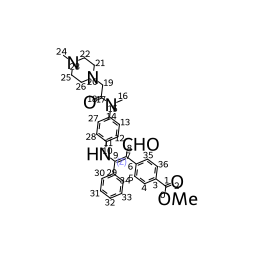 COC(=O)c1ccc(/C(C=O)=C(/Nc2ccc(N(C)C(=O)CN3CCN(C)CC3)cc2)c2ccccc2)cc1